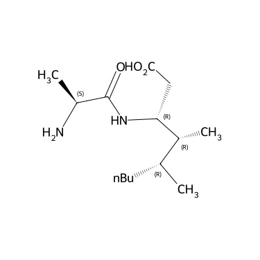 CCCC[C@@H](C)[C@@H](C)[C@@H](CC(=O)O)NC(=O)[C@H](C)N